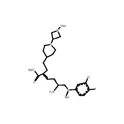 COC(=O)/C(=C/CC(N)CN(S)c1ccc(F)c(Cl)c1)CCC1CCN(C2CN(SC)C2)CC1